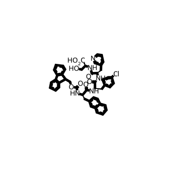 O=C(N[C@H](Cc1ccc2ccccc2c1)C(=O)N[C@H](Cc1ccc(Cl)cc1)C(=O)N[C@H](Cc1cccnc1)C(=O)N[C@@H](CO)C(=O)O)OCC1c2ccccc2-c2ccccc21